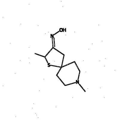 CC1SC2(CCN(C)CC2)CC1=NO